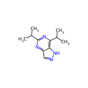 CC(C)c1nc(C(C)C)c2[nH]ncc2n1